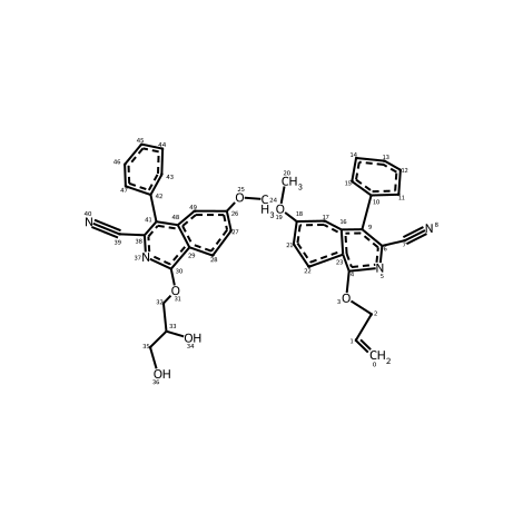 C=CCOc1nc(C#N)c(-c2ccccc2)c2cc(OC)ccc12.COc1ccc2c(OCC(O)CO)nc(C#N)c(-c3ccccc3)c2c1